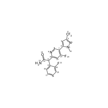 Cn1nc(C(F)(F)F)cc1-c1cnc(C(C(N)=O)c2ccccc2F)cc1F